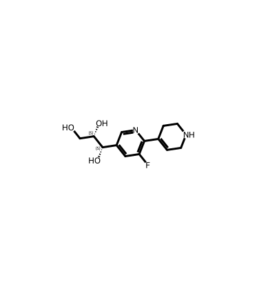 OC[C@H](O)[C@@H](O)c1cnc(C2=CCNCC2)c(F)c1